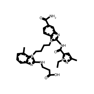 CCn1nc(C)cc1C(=O)Nc1nc2cc(C(N)=O)ccc2n1CCCCn1c(NCCC(=O)O)nc2cccc(C)c21